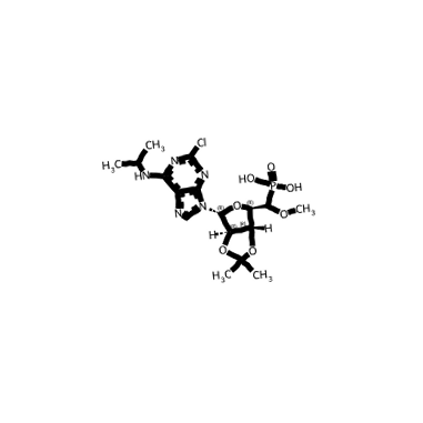 COC([C@@H]1O[C@@H](n2cnc3c(NC(C)C)nc(Cl)nc32)[C@@H]2OC(C)(C)O[C@H]21)P(=O)(O)O